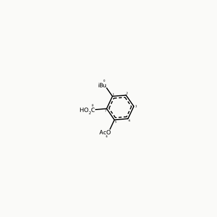 CCC(C)c1cccc(OC(C)=O)c1C(=O)O